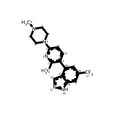 Cc1nc(N2CCN(C)CC2)ccc1-c1cc(C(F)(F)F)cc2[nH]ncc12